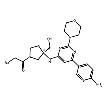 CC(C)(C)CC(=O)N1CC[C@](CO)(Nc2cc(-c3cnc(N)nc3)nc(N3CCOCC3)n2)C1